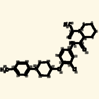 CC(=O)N1CCCCC1C(=O)Nc1ccc(OC2CCN(c3ccc(C)cc3)CC2)c(Cl)c1